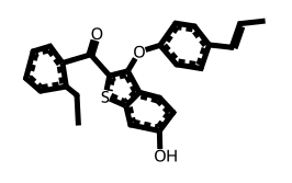 C/C=C/c1ccc(Oc2c(C(=O)c3ccccc3CC)sc3cc(O)ccc23)cc1